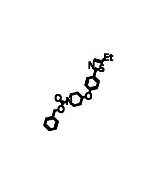 CCc1cnc(-c2ccc(OC3CCN(C(=O)OCc4ccccc4)CC3)cc2)s1